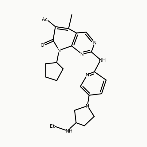 CCNC1CCN(c2ccc(Nc3ncc4c(C)c(C(C)=O)c(=O)n(C5CCCC5)c4n3)nc2)C1